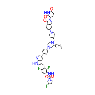 C[C@@H]1CN(c2ccc(-c3cnc4[nH]cc(Cc5c(F)ccc(NS(=O)(=O)N6CC[C@@H](F)C6)c5F)c4c3)cc2)CCN1CC1CCN(c2ccc3c(c2)CN(C2CCC(=O)NC2=O)C3=O)CC1